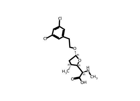 CN[C@@H](C(=O)O)[C@@H]1O[C@@H](OCCc2cc(Cl)cc(Cl)c2)C[C@H]1C